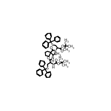 CC(NC(=O)C(CSC(c1ccccc1)(c1ccccc1)c1ccccc1)NC(=O)OC(C)(C)C)C1(C(=O)NC(CSC(c2ccccc2)(c2ccccc2)c2ccccc2)C(=O)OC(C)(C)C)CCCC1